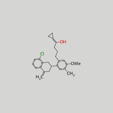 C=C1CC(c2cc(C)c(OC)cc2CCCC(O)=C2CC2)Cc2c(Cl)cccc21